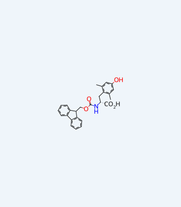 Cc1cc(O)cc(C)c1C[C@@H](NC(=O)OCC1c2ccccc2-c2ccccc21)C(=O)O